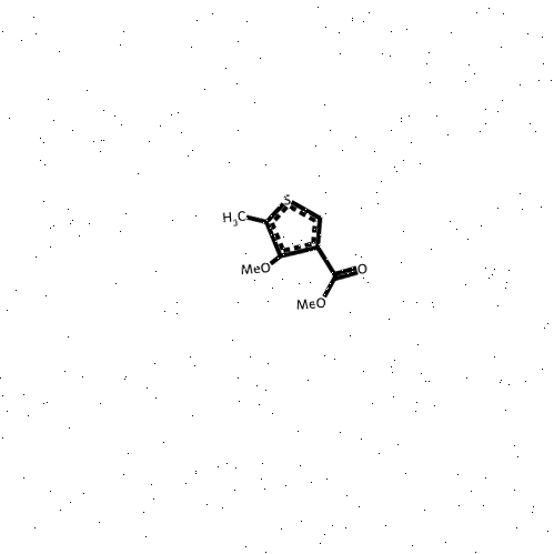 COC(=O)c1csc(C)c1OC